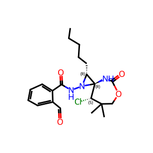 CCCCC[C@H]1N(NC(=O)c2ccccc2C=O)[C@]12NC(=O)OCC(C)(C)[C@@H]2Cl